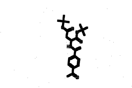 C=C(NC(CC(=O)OC(C)(C)C)C(=O)OC(C)(C)C)c1ccc(C(C)=O)cc1